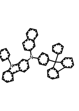 c1ccc(-n2c3ccccc3c3ccc(N(c4ccc(C5(c6ccccc6)c6ccccc6-c6ccccc65)cc4)c4ccc5ccccc5c4)cc32)cc1